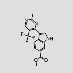 COC(=O)c1ccc2c(-c3nc(C)ncc3C(F)(F)F)c[nH]c2c1